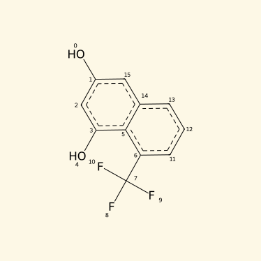 Oc1cc(O)c2c(C(F)(F)F)cccc2c1